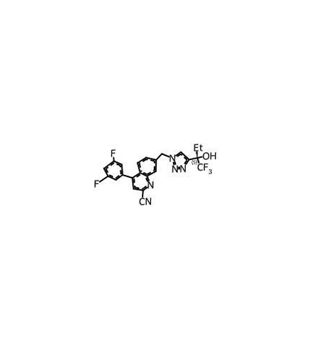 CC[C@](O)(c1cn(Cc2ccc3c(-c4cc(F)cc(F)c4)cc(C#N)nc3c2)nn1)C(F)(F)F